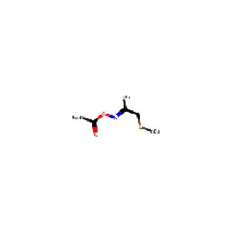 CCCCSCC(=NOC(=O)NC)C(C)(C)C